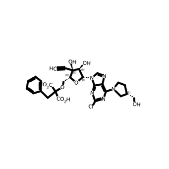 C#C[C@@]1(O)[C@@H](COC(Cc2ccccc2)(C(=O)O)C(=O)O)O[C@@H](n2cnc3c(N4CC[C@H](CO)C4)nc(Cl)nc32)[C@@H]1O